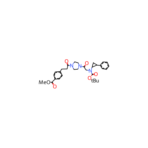 COC(=O)c1ccc(CCC(=O)N2CCN(C(=O)CN(C(=O)OC(C)(C)C)C3CC3c3ccccc3)CC2)cc1